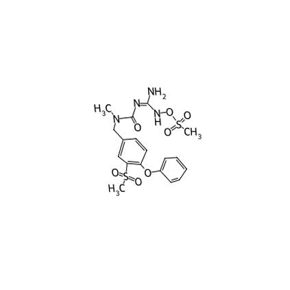 CN(Cc1ccc(Oc2ccccc2)c(S(C)(=O)=O)c1)C(=O)N=C(N)NOS(C)(=O)=O